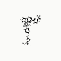 CC1(C)OC[C@@H](COc2ccc(NC(=O)N3c4nc(-c5cccc(C(F)(F)F)c5)ncc4N4CCC[C@H]3C4)cn2)O1